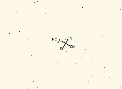 CCC(C#N)(C#N)C(=O)O